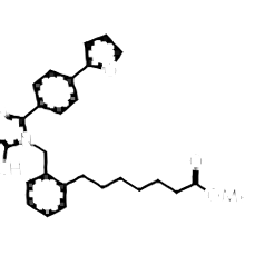 COC(=O)CCCCCCc1ccccc1Cn1c(C)cnc1-c1ccc(-c2ccco2)cc1